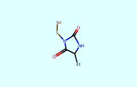 CCC1NC(=O)N(SS)C1=O